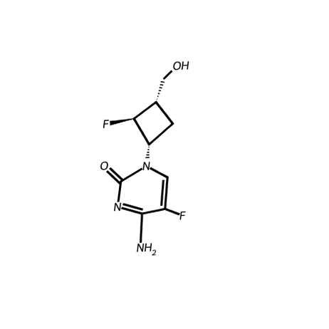 Nc1nc(=O)n([C@H]2C[C@@H](CO)[C@@H]2F)cc1F